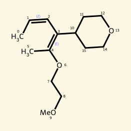 C/C=C\C(=C(/C)OCCOC)C1CCOCC1